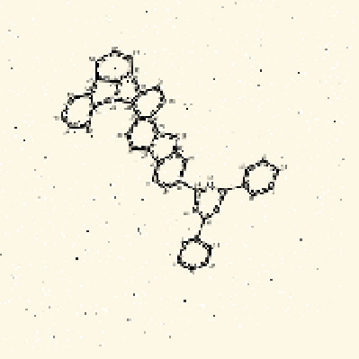 c1ccc(-c2cc(-c3ccccc3)nc(-c3ccc4c(c3)sc3c4ccc4c3ccc3c5cccc6c7ccccc7n(c43)c65)n2)cc1